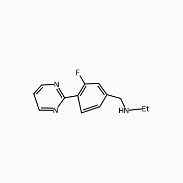 CCNCc1ccc(-c2ncccn2)c(F)c1